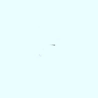 CC[C@H]1OCC(N)(c2cccc(F)c2F)[C@@H]1CO